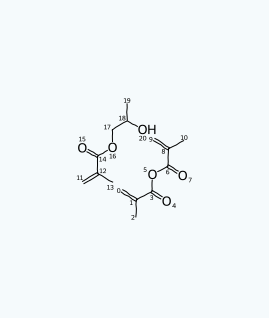 C=C(C)C(=O)OC(=O)C(=C)C.C=C(C)C(=O)OCC(C)O